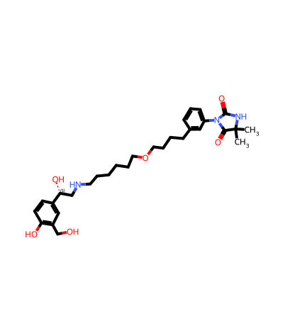 CC1(C)NC(=O)N(c2cccc(CCCCOCCCCCCNC[C@@H](O)c3ccc(O)c(CO)c3)c2)C1=O